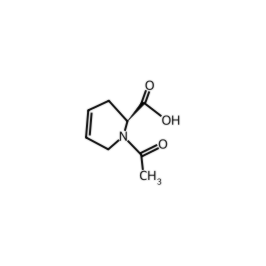 CC(=O)N1CC=CC[C@H]1C(=O)O